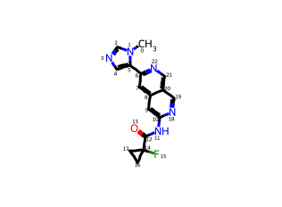 Cn1cncc1-c1cc2cc(NC(=O)C3(F)CC3)ncc2cn1